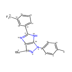 Cc1ccc(-n2nc(C(C)(C)C)c3nc(-c4cccc(C(F)(F)F)c4)[nH]c32)cc1